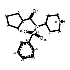 O=C(C1CCCC1)N(C1CCNCC1)S(=O)(=O)c1ccccc1